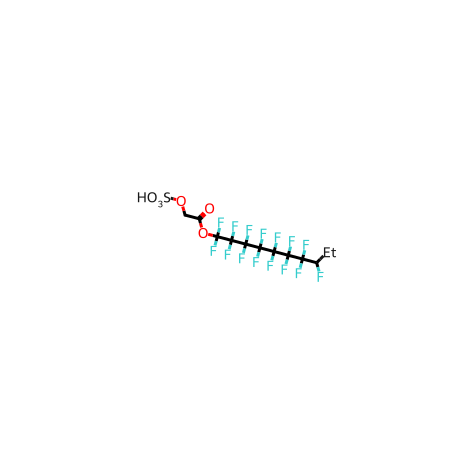 CCC(F)C(F)(F)C(F)(F)C(F)(F)C(F)(F)C(F)(F)C(F)(F)C(F)(F)OC(=O)COS(=O)(=O)O